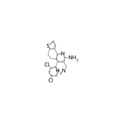 NCc1c(N)nc2c(c1-c1ccc(Cl)cc1Cl)CCc1sccc1-2